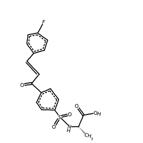 C[C@H](NS(=O)(=O)c1ccc(C(=O)/C=C/c2ccc(F)cc2)cc1)C(=O)O